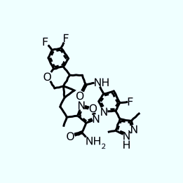 Cc1n[nH]c(C)c1-c1ncc(NC(=O)CC2c3cc(F)c(F)cc3OCC23CC3CC(C)c2nonc2C(N)=O)cc1F